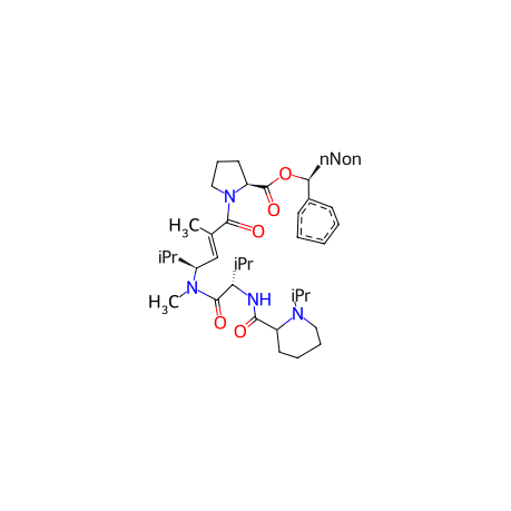 CCCCCCCCC[C@H](OC(=O)[C@@H]1CCCN1C(=O)/C(C)=C/[C@H](C(C)C)N(C)C(=O)[C@@H](NC(=O)C1CCCCN1C(C)C)C(C)C)c1ccccc1